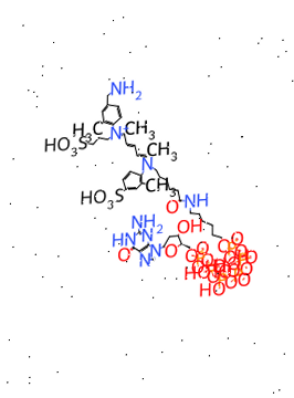 C\C(=C/C=C/C(C)=[N+](\CCCS(=O)(=O)O)c1ccc(CN)cc1C)N(CCCCCC(=O)NCCCCCCOP(=O)(O)OP(=O)(O)OP(=O)(O)OP(=O)(O)OP(=O)(O)OP(=O)(O)OC[C@H]1O[C@@H](n2cnc3c(=O)[nH]c(N)nc32)CC1O)c1ccc(S(=O)(=O)O)cc1C